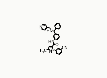 N#Cc1cccc(-n2nc(C(F)(F)F)cc2C(=O)Nc2cccc(C(NCc3ccncc3)c3ccccc3)c2)c1